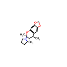 CC1c2cc3c(cc2O[C@](C)(N2CCCC2)[C@H]1C)OCO3